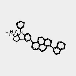 CC1CCC2c3cc(-c4ccc5ccc6c(-c7cccc8ccccc78)ccc7ccc4c5c76)ccc3N(c3ccccc3)C12C